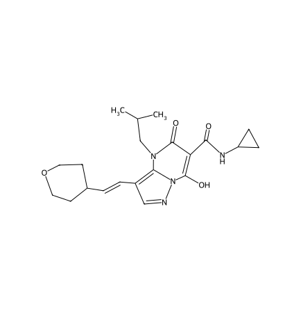 CC(C)Cn1c(=O)c(C(=O)NC2CC2)c(O)n2ncc(/C=C/C3CCOCC3)c12